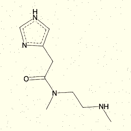 CNCCN(C)C(=O)Cc1c[nH]cn1